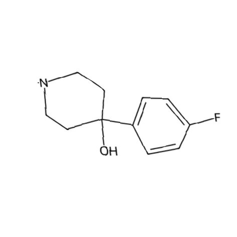 OC1(c2ccc(F)cc2)CC[N]CC1